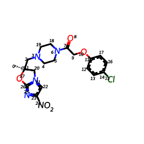 C[C@]1(CN2CCN(C(=O)COc3ccc(Cl)cc3)CC2)Cn2cc([N+](=O)[O-])nc2O1